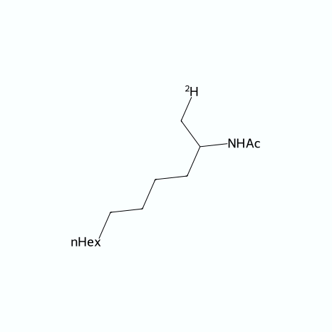 [2H]CC(CCCCCCCCCC)NC(C)=O